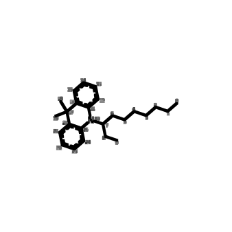 CCCCCCCC(CC)N1c2ccccc2C(C)(C)c2ccccc21